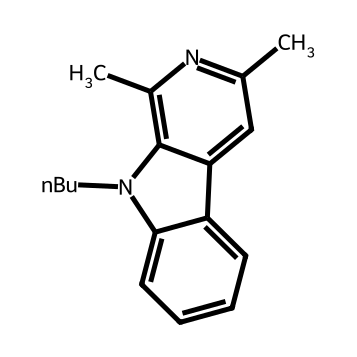 CCCCn1c2ccccc2c2cc(C)nc(C)c21